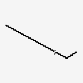 CCCCCCCC/C=C\CCCCCCCC(=O)OCCCCCCCCCCCCCCCCCCCCCCCCCCCCCCCCCCCCCCCC